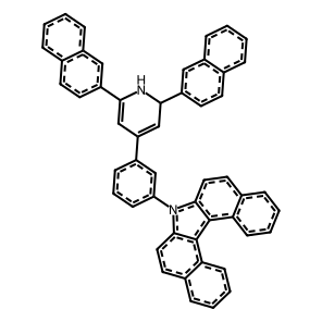 C1=C(c2cccc(-n3c4ccc5ccccc5c4c4c5ccccc5ccc43)c2)C=C(c2ccc3ccccc3c2)NC1c1ccc2ccccc2c1